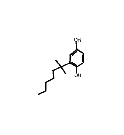 CCCCCC(C)(C)c1cc(O)ccc1O